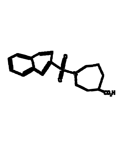 O=C(O)C1CCCN(S(=O)(=O)c2ccc3ccccc3c2)CC1